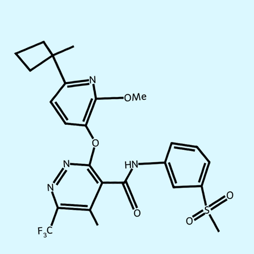 COc1nc(C2(C)CCC2)ccc1Oc1nnc(C(F)(F)F)c(C)c1C(=O)Nc1cccc(S(C)(=O)=O)c1